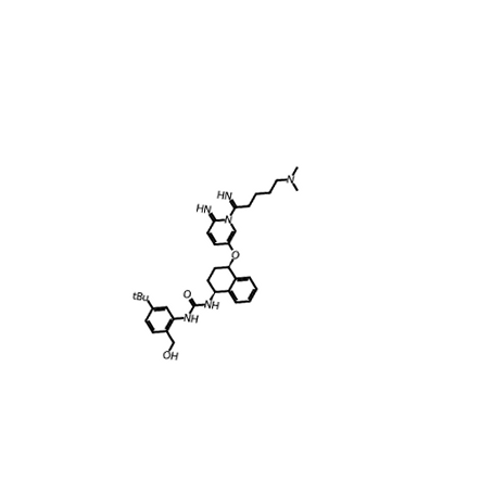 CN(C)CCCCC(=N)n1cc(O[C@@H]2CC[C@H](NC(=O)Nc3cc(C(C)(C)C)ccc3CO)c3ccccc32)ccc1=N